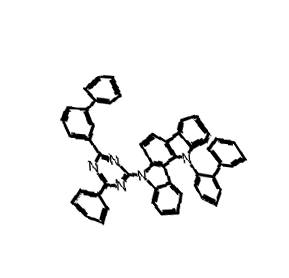 c1ccc(-c2cccc(-c3nc(-c4ccccc4)nc(-n4c5ccccc5c5c4ccc4c6ccccc6n(-c6ccccc6-c6ccccc6)c45)n3)c2)cc1